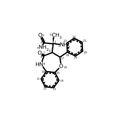 C[C@](N)(C(N)=O)C1C(=O)Nc2ccccc2OC1c1ccccc1